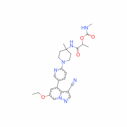 CCOc1cc(-c2ccc(N3CCC(C)(NC(=O)C(C)OC(=O)NC)CC3)nc2)c2c(C#N)cnn2c1